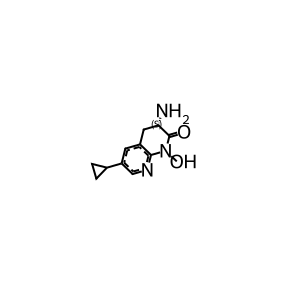 N[C@H]1Cc2cc(C3CC3)cnc2N(O)C1=O